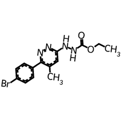 CCOC(=O)NNc1cc(C)c(-c2ccc(Br)cc2)nn1